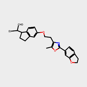 CCC(C=O)C1CCc2cc(OCCc3nc(-c4ccc5c(c4)OCC5)oc3C)ccc21